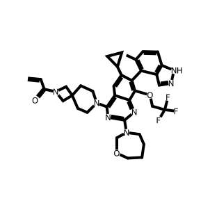 C=CC(=O)N1CC2(CCN(c3nc(N4CCCCOC4)nc4c(OCC(F)(F)F)c(-c5c(C)ccc6[nH]ncc56)c(C5CC5)cc34)CC2)C1